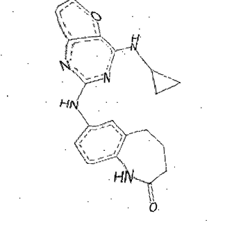 O=C1CCCc2cc(Nc3nc(NC4CC4)c4occc4n3)ccc2N1